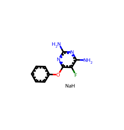 Nc1nc(N)c(F)c(Oc2ccccc2)n1.[NaH]